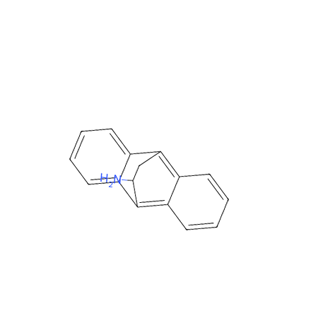 NC1Cc2c3ccccc3c1c1ccccc21